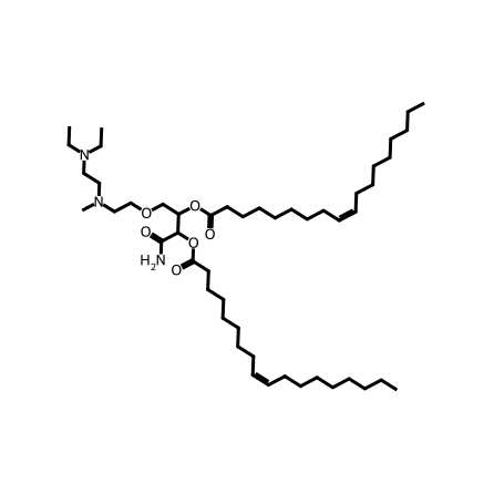 CCCCCCCC/C=C\CCCCCCCC(=O)OC(COCCN(C)CCN(CC)CC)C(OC(=O)CCCCCCC/C=C\CCCCCCCC)C(N)=O